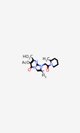 CC(=O)Oc1c(C(=O)O)nc2n(CC(=O)N3CCCCC3C)c(C)cn2c1=O